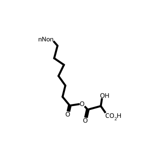 CCCCCCCCCCCCCCCC(=O)OC(=O)C(O)C(=O)O